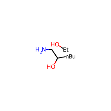 CCCCC(O)CN.CCO